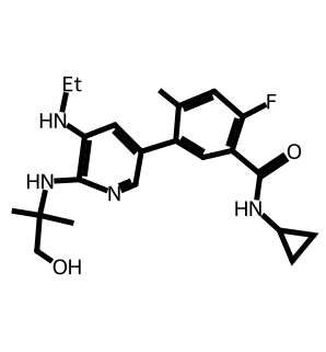 CCNc1cc(-c2cc(C(=O)NC3CC3)c(F)cc2C)cnc1NC(C)(C)CO